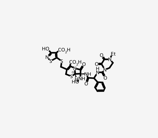 CCN1CCN(C(=O)NC(C(=O)N[C@]2(NO)C(=O)N3C(C(=O)O)=C(CSc4snc(O)c4C(=O)O)CS[C@H]32)c2ccccc2)C(=O)C1=O